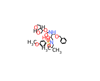 COc1ccc(S(=O)(=O)N(CC(C)C)C[C@@H](O)[C@H](COCc2ccccc2)NC(=O)O[C@H]2CO[C@H]3OCC[C@H]32)cc1